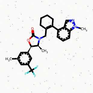 Cc1cc([C@H]2OC(=O)N(CC3=C(c4cccc5c4cnn5C)CCCC3)[C@H]2C)cc(C(F)(F)F)c1